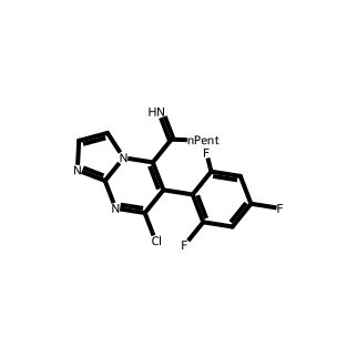 CCCCCC(=N)c1c(-c2c(F)cc(F)cc2F)c(Cl)nc2nccn12